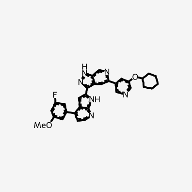 COc1cc(F)cc(-c2ccnc3[nH]c(-c4n[nH]c5cnc(-c6cncc(OC7CCCCC7)c6)cc45)cc23)c1